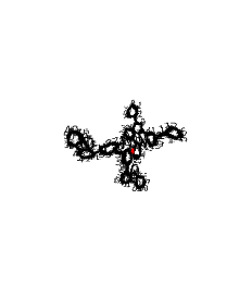 c1ccc(-c2ccc3c(c2)c2cc(-c4ccccc4)ccc2n3-c2ccccc2-c2ccccc2-n2c3ccc(-c4cccc5c4oc4ccccc45)cc3c3cc(-c4cccc5c4oc4ccccc45)ccc32)cc1